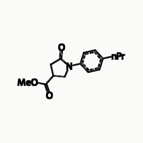 CCCc1ccc(N2CC(C(=O)OC)CC2=O)cc1